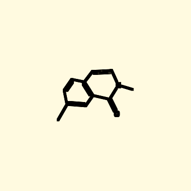 Cc1ccc2ccn(C)c(=O)c2c1